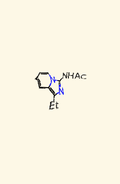 CCc1nc(NC(C)=O)n2ccccc12